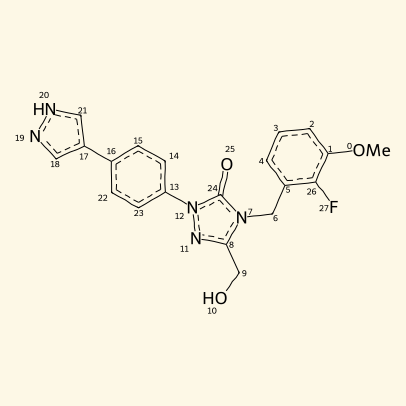 COc1cccc(Cn2c(CO)nn(-c3ccc(-c4cn[nH]c4)cc3)c2=O)c1F